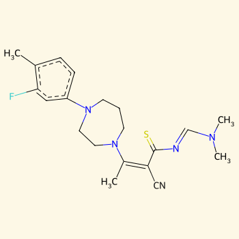 C/C(=C(\C#N)C(=S)/N=C/N(C)C)N1CCCN(c2ccc(C)c(F)c2)CC1